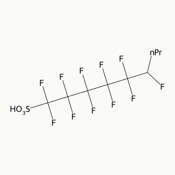 CCCC(F)C(F)(F)C(F)(F)C(F)(F)C(F)(F)C(F)(F)S(=O)(=O)O